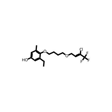 CCc1cc(O)cc(C)c1OCCCCOC/C=C(\Cl)C(F)(F)F